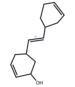 OC1C=CCC(/C=C/C2CC=CCC2)C1